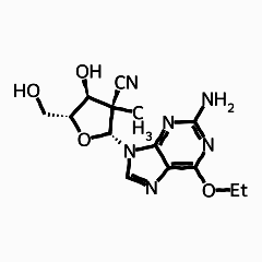 CCOc1nc(N)nc2c1ncn2[C@@H]1O[C@H](CO)[C@@H](O)[C@@]1(C)C#N